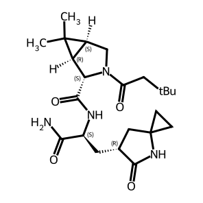 CC(C)(C)CC(=O)N1C[C@H]2[C@@H]([C@H]1C(=O)N[C@@H](C[C@@H]1CC3(CC3)NC1=O)C(N)=O)C2(C)C